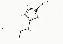 ICSc1cc(I)sn1